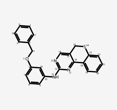 c1ccc(COc2cccc(Nc3ncc4c(n3)-c3ccccc3SC4)c2)cc1